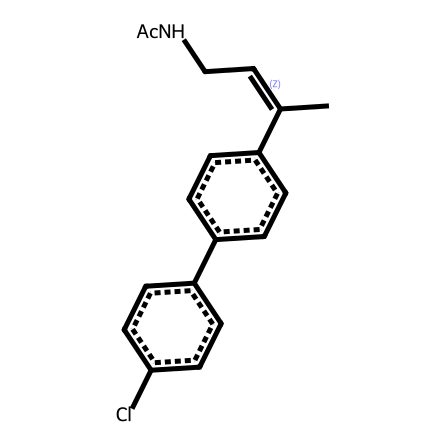 CC(=O)NC/C=C(/C)c1ccc(-c2ccc(Cl)cc2)cc1